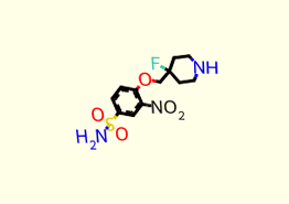 NS(=O)(=O)c1ccc(OCC2(F)CCNCC2)c([N+](=O)[O-])c1